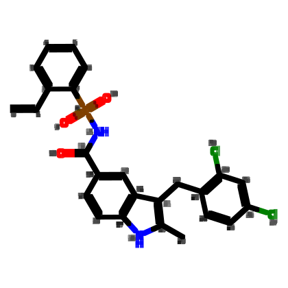 C=Cc1ccccc1S(=O)(=O)NC(=O)c1ccc2[nH]c(C)c(Cc3ccc(Cl)cc3Cl)c2c1